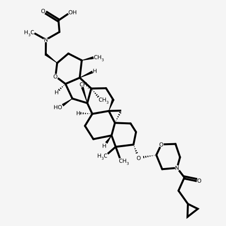 C[C@@H]1C[C@H](CN(C)CC(=O)O)O[C@H]2[C@H]1[C@@]1(C)CC[C@@]34C[C@@]35CC[C@H](O[C@H]3CN(C(=O)CC6CC6)CCO3)C(C)(C)[C@@H]5CC[C@H]4[C@]1(C)[C@H]2O